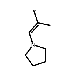 [CH2]C(C)=CN1CCCC1